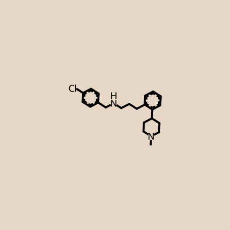 CN1CCC(c2ccccc2CCCNCc2ccc(Cl)cc2)CC1